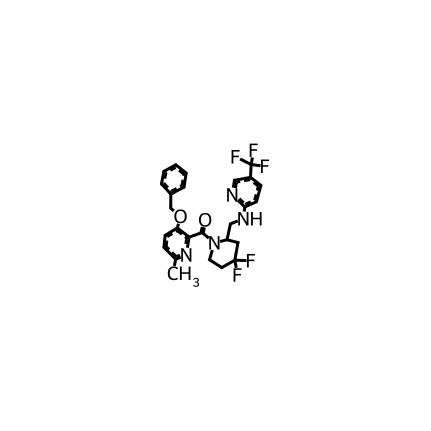 Cc1ccc(OCc2ccccc2)c(C(=O)N2CCC(F)(F)CC2CNc2ccc(C(F)(F)F)cn2)n1